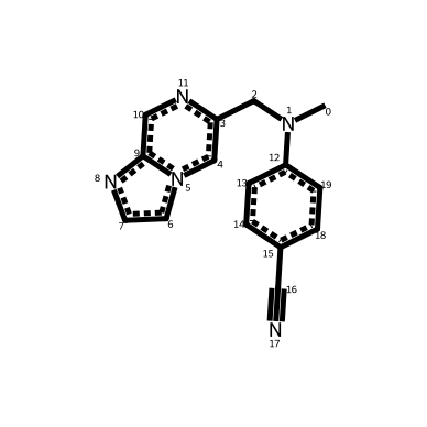 CN(Cc1cn2ccnc2cn1)c1ccc(C#N)cc1